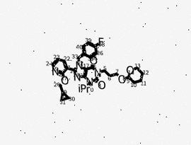 CC(C)n1c(=O)n(CCCOC2CCCCO2)c(=O)c2c1nc(-c1cccnc1OCC1CC1)n2Cc1ccc(F)cc1